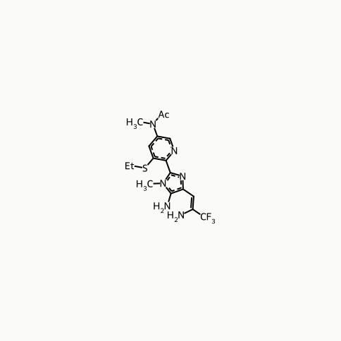 CCSc1cc(N(C)C(C)=O)cnc1-c1nc(/C=C(\N)C(F)(F)F)c(N)n1C